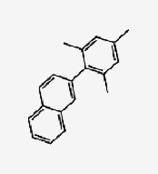 Cc1cc(C)c(-c2ccc3ccccc3c2)c(C)c1